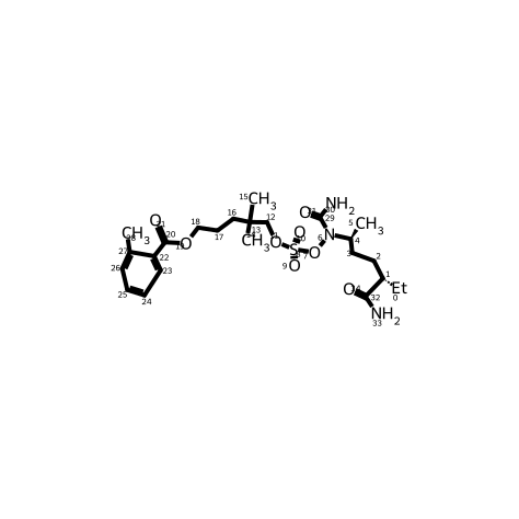 CC[C@@H](CC[C@H](C)N(OS(=O)(=O)OCC(C)(C)CCCOC(=O)c1ccccc1C)C(N)=O)C(N)=O